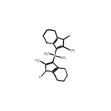 [Li][CH]1C(C)=C([Si](C)(C)C2=C(C)[CH]([Li])C3=C2CCCC3)C2=C1CCCC2